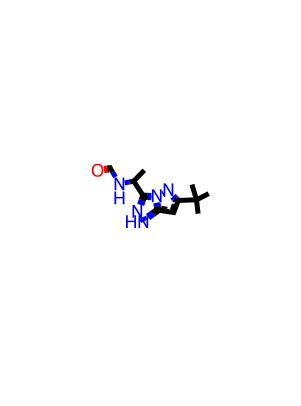 CC(NC=O)c1n[nH]c2cc(C(C)(C)C)nn12